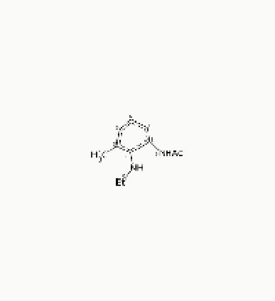 CCNc1c(C)cccc1NC(C)=O